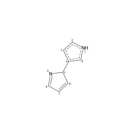 [c]1[nH]ccc1C1C=CC=N1